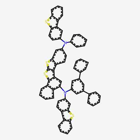 c1ccc(-c2cc(-c3ccccc3)cc(N(c3ccc4c(c3)sc3ccccc34)c3cc4c(sc5sc6cc(N(c7ccccc7)c7ccc8sc9ccccc9c8c7)ccc6c54)c4ccccc34)c2)cc1